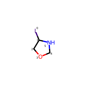 IC1COCN1